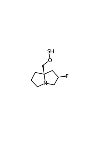 F[C@H]1CN2CCC[C@]2(COS)C1